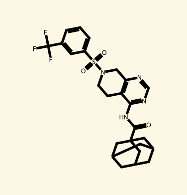 O=C(Nc1ncnc2c1CCN(S(=O)(=O)c1cccc(C(F)(F)F)c1)C2)C12CC3CC(CC(C3)C1)C2